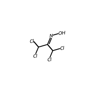 ON=C(C(Cl)Cl)C(Cl)Cl